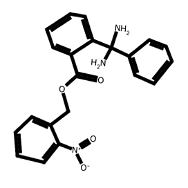 NC(N)(c1ccccc1)c1ccccc1C(=O)OCc1ccccc1[N+](=O)[O-]